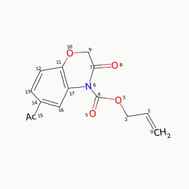 C=CCOC(=O)N1C(=O)COc2ccc(C(C)=O)cc21